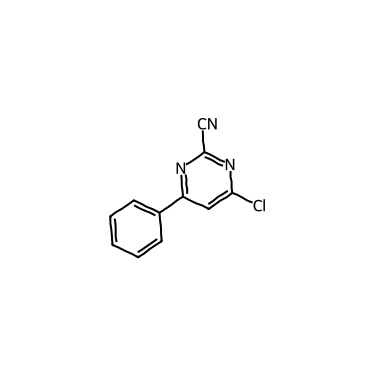 N#Cc1nc(Cl)cc(-c2ccccc2)n1